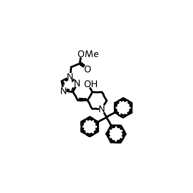 COC(=O)Cn1cnc(C=C2CN(C(c3ccccc3)(c3ccccc3)c3ccccc3)CCC2O)n1